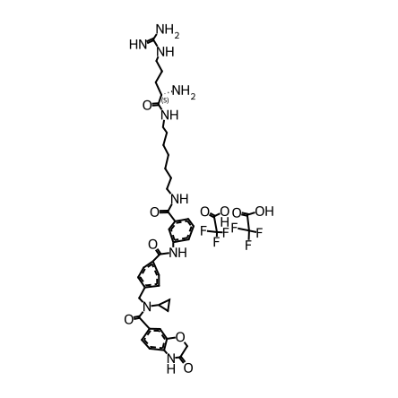 N=C(N)NCCC[C@H](N)C(=O)NCCCCCCCNC(=O)c1cccc(NC(=O)c2ccc(CN(C(=O)c3ccc4c(c3)OCC(=O)N4)C3CC3)cc2)c1.O=C(O)C(F)(F)F.O=C(O)C(F)(F)F